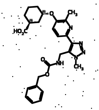 Cc1nc(-c2nnn(C)c2CNC(=O)OCc2ccccc2)ccc1O[C@H]1CCC[C@H](C(=O)O)C1